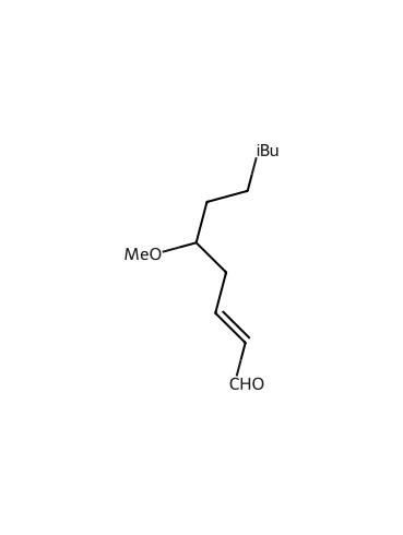 CCC(C)CCC(CC=CC=O)OC